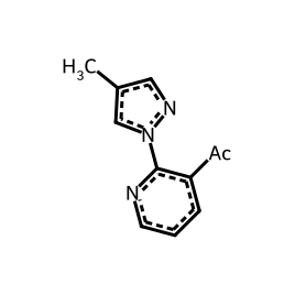 CC(=O)c1cccnc1-n1cc(C)cn1